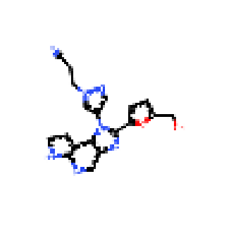 N#CCCn1cc(-n2c(-c3ccc(CO)o3)nc3cnc4[nH]ccc4c32)cn1